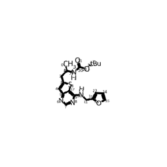 C[C@H](Cc1cc2ncnc(NCc3ccco3)c2s1)NC(=O)OC(C)(C)C